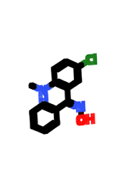 CNc1ccc(Cl)cc1C(=NO)c1ccccc1